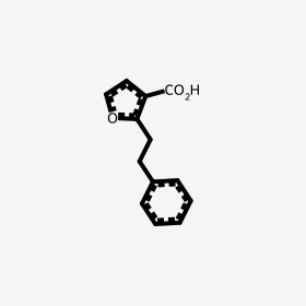 O=C(O)c1ccoc1CCc1ccccc1